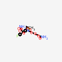 CS(=O)(=O)N(CCOCCOCCOCC(N)=O)c1cc2oc(-c3ccc(F)cc3)c(C(=O)OC(N)=O)c2cc1C1CC1